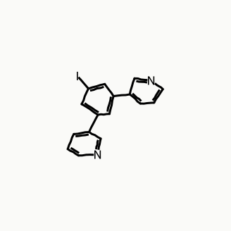 Ic1cc(-c2cccnc2)cc(-c2cccnc2)c1